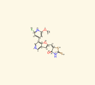 CCOc1cc(-c2cncc3cc(C=C4SC(=S)NC4=O)oc23)cc(F)n1